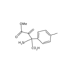 C=C(C(=O)OC)C([SiH3])(C(=O)O)c1ccc(C)cc1